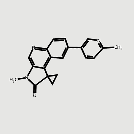 Cc1ccc(-c2ccc3ncc4c(c3c2)C2(CC2)C(=O)N4C)cn1